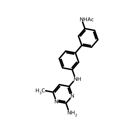 CC(=O)Nc1cccc(-c2cccc(Nc3cc(C)nc(N)n3)c2)c1